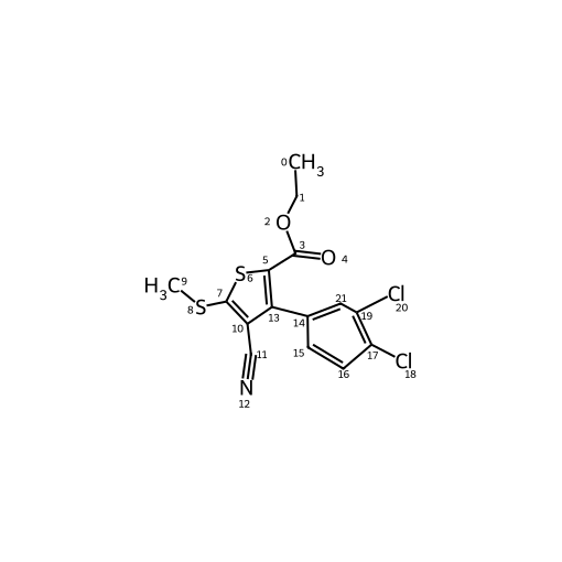 CCOC(=O)c1sc(SC)c(C#N)c1-c1ccc(Cl)c(Cl)c1